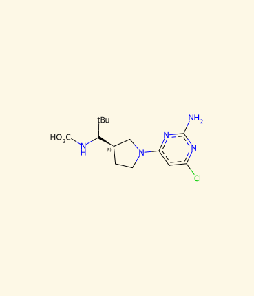 CC(C)(C)C(NC(=O)O)[C@@H]1CCN(c2cc(Cl)nc(N)n2)C1